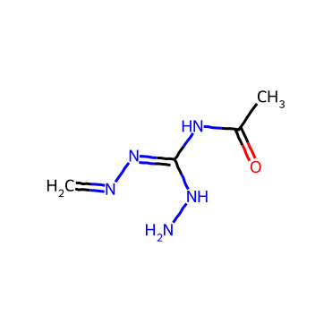 C=N/N=C(\NN)NC(C)=O